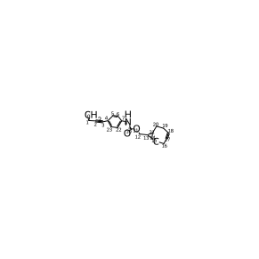 C=CC#Cc1ccc(NC(=O)OCC2C3CCC#CCCC32)cc1